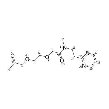 CC(=O)COCCOCC(=O)N(C)CCc1ccccn1